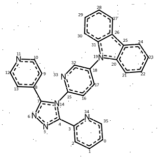 c1ccc(-c2nnc(-c3ccncc3)n2-c2ccc(-n3c4ccccc4c4ccccc43)cn2)nc1